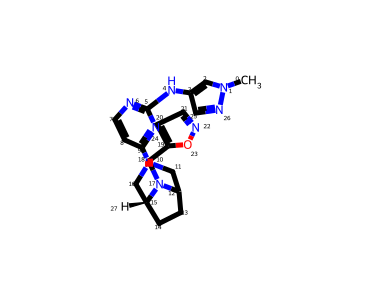 Cn1cc(Nc2nccc(N3CC4CC[C@H](C3)N4Cc3ccno3)n2)cn1